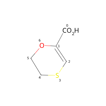 O=C(O)C1=CSCCO1